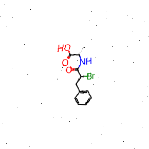 C[C@H](NC(=O)C(Br)Cc1ccccc1)C(=O)O